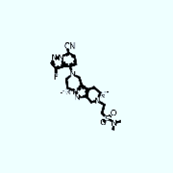 C[C@@H]1CN(c2ccc(C#N)n3ncc(F)c23)Cc2c3c(nn21)CN(CCS(=O)(=O)N(C)C)[C@@H](C)C3